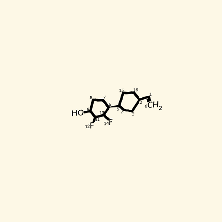 C=CC1CCC([C@@H]2CCC(O)C(F)C2F)CC1